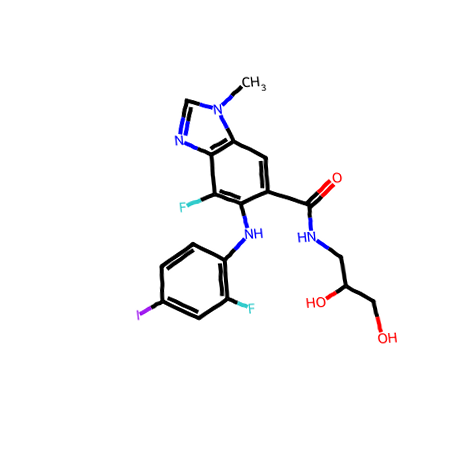 Cn1cnc2c(F)c(Nc3ccc(I)cc3F)c(C(=O)NCC(O)CO)cc21